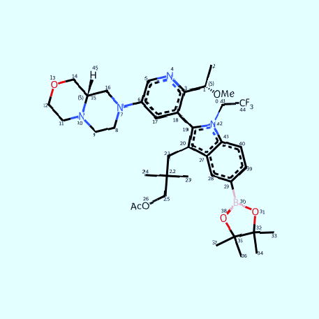 CO[C@@H](C)c1ncc(N2CCN3CCOC[C@@H]3C2)cc1-c1c(CC(C)(C)COC(C)=O)c2cc(B3OC(C)(C)C(C)(C)O3)ccc2n1CC(F)(F)F